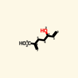 C=CC(O)CCC(=C)C(=O)O